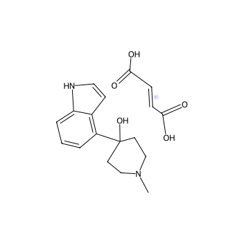 CN1CCC(O)(c2cccc3[nH]ccc23)CC1.O=C(O)/C=C/C(=O)O